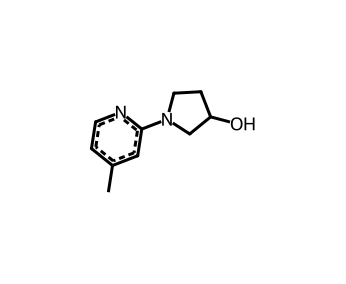 Cc1ccnc(N2CCC(O)C2)c1